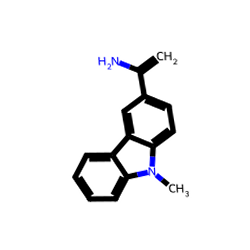 C=C(N)c1ccc2c(c1)c1ccccc1n2C